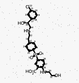 O=C(O)c1cc(S(=O)(=O)c2ccc(CCNC[C@@H](O)c3cccc(Cl)c3)cc2)ccc1NCCO